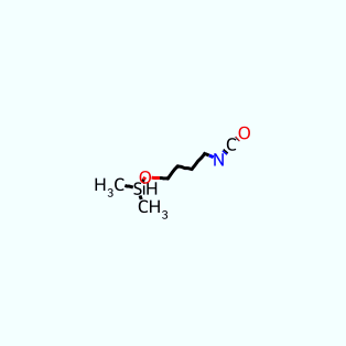 C[SiH](C)OCCCCN=C=O